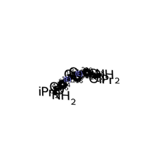 CC(C)C(N)C(=O)Oc1ccc(/C=C/C(=O)C2CCC/C(=C\c3ccc(OC(=O)C(N)C(C)C)cc3)C2=O)cc1